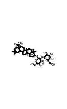 CC1(C)CC[C@]2(C(=O)O)CC[C@]3(C)C(=CC[C@@H]4[C@@]5(C)CC[C@H](O[C@@H]6O[C@H](CO)[C@@H](O)[C@H](O)[C@H]6O[C@@H]6O[C@H](CO)[C@@H](O)[C@H](O)[C@H]6O)C(C)(C)[C@@H]5CC[C@]43C)[C@@H]2C1